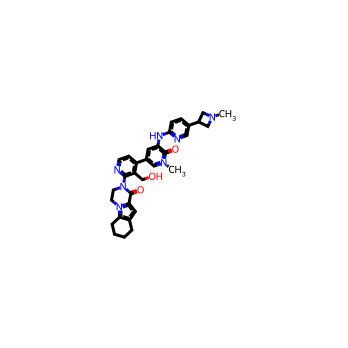 CN1CC(c2ccc(Nc3cc(-c4ccnc(N5CCn6c(cc7c6CCCC7)C5=O)c4CO)cn(C)c3=O)nc2)C1